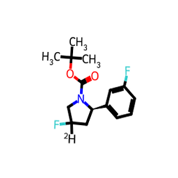 [2H]C1(F)C[C@H](c2cccc(F)c2)N(C(=O)OC(C)(C)C)C1